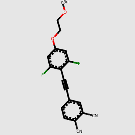 CCCCOCCOc1cc(F)c(C#Cc2ccc(C#N)c(C#N)c2)c(F)c1